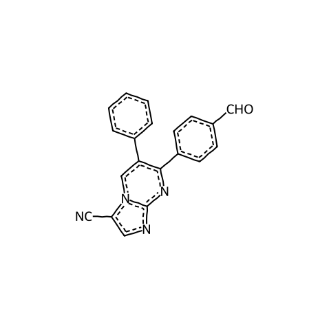 N#Cc1cnc2nc(-c3ccc(C=O)cc3)c(-c3ccccc3)cn12